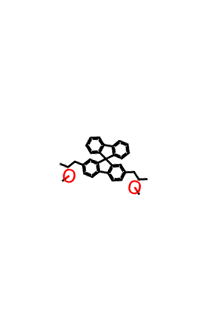 COC(C)Cc1ccc2c(c1)C1(c3ccccc3-c3ccccc31)c1cc(CC(C)OC)ccc1-2